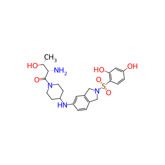 C[C@@H](O)[C@H](N)C(=O)N1CCC(Nc2ccc3c(c2)CN(S(=O)(=O)c2ccc(O)cc2O)C3)CC1